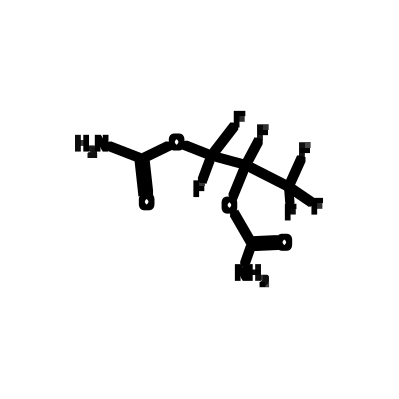 NC(=O)OC(F)(F)C(F)(OC(N)=O)C(F)(F)F